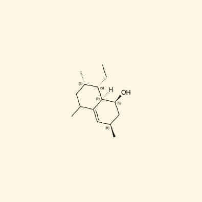 CC[C@@H]1[C@@H]2C(=C[C@H](C)C[C@@H]2O)C(C)C[C@@H]1C